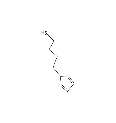 SCCCCC1C=CC=C1